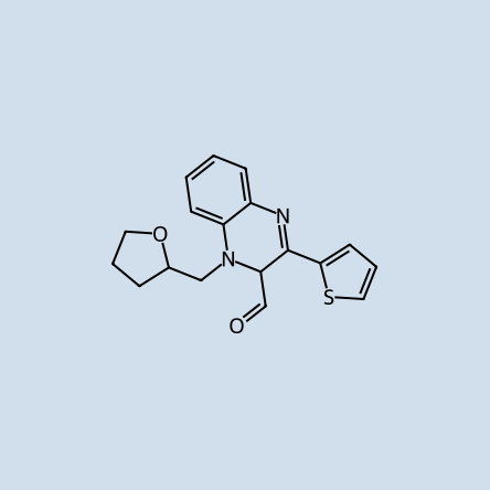 O=CC1C(c2cccs2)=Nc2ccccc2N1CC1CCCO1